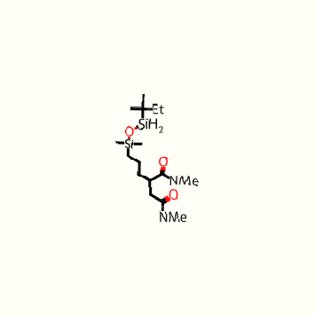 CCC(C)(C)[SiH2]O[Si](C)(C)CCCC(CC(=O)NC)C(=O)NC